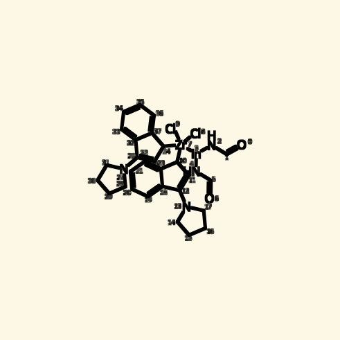 O=C[NH][In]([NH]C=O)[Zr]([Cl])([Cl])([CH]1C=C(N2CCCC2)c2ccccc21)[CH]1C=C(N2CCCC2)c2ccccc21